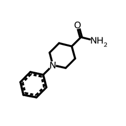 NC(=O)C1CCN(c2ccccc2)CC1